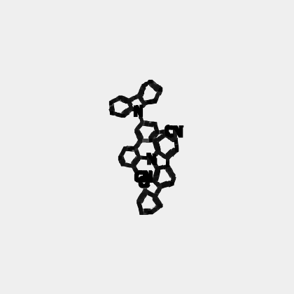 N#Cc1cc(-c2cccc(C#N)c2-n2c3ccccc3c3ccc4c5ccccc5oc4c32)cc(-n2c3ccccc3c3ccccc32)c1